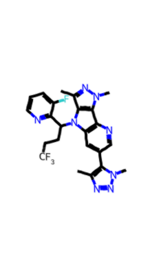 Cc1nnn(C)c1-c1cnc2c3c(c(C)nn3C)n(C(CCC(F)(F)F)c3ncccc3F)c2c1